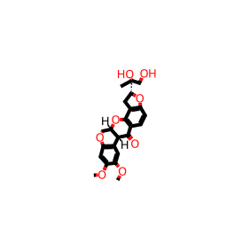 COc1cc2c(cc1OC)[C@@H]1C(=O)c3ccc4c(c3O[C@@H]1CO2)C[C@H](C(C)(O)CO)O4